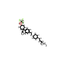 C#CC1(c2ccc(CC[C@H]3CC[C@H](CCC=C)CC3)cc2)CCC(OC(F)(F)F)CC1